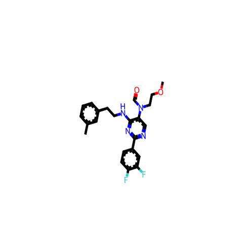 COCCN(C=O)c1cnc(-c2ccc(F)c(F)c2)nc1NCCc1cccc(C)c1